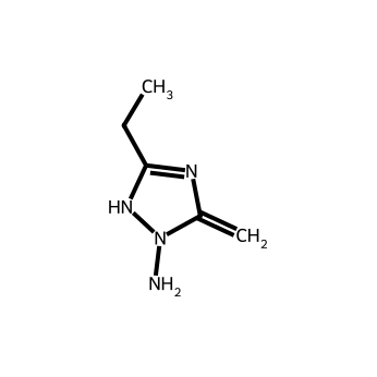 C=C1N=C(CC)NN1N